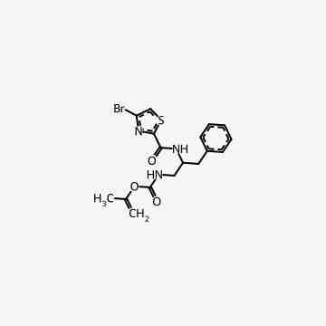 C=C(C)OC(=O)NCC(Cc1ccccc1)NC(=O)c1nc(Br)cs1